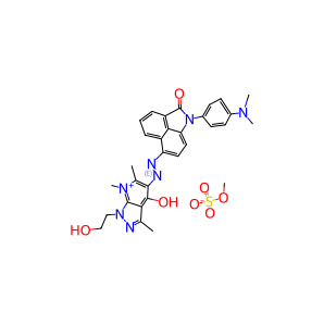 COS(=O)(=O)[O-].Cc1nn(CCO)c2c1c(O)c(/N=N/c1ccc3c4c(cccc14)C(=O)N3c1ccc(N(C)C)cc1)c(C)[n+]2C